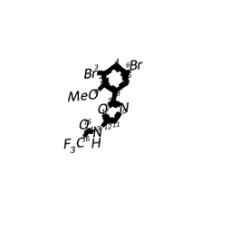 COc1c(Br)cc(Br)cc1-c1ncc(NC(=O)C(F)(F)F)o1